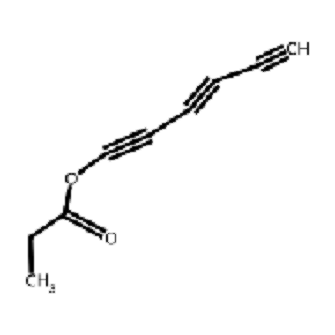 C#CC#CC#COC(=O)CC